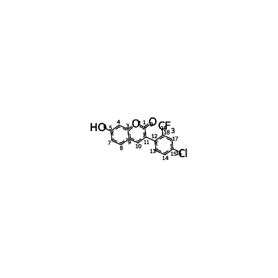 O=c1oc2cc(O)ccc2cc1-c1ccc(Cl)cc1C(F)(F)F